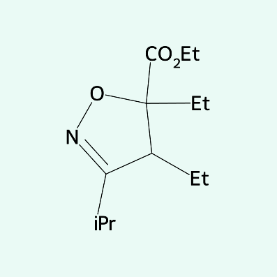 CCOC(=O)C1(CC)ON=C(C(C)C)C1CC